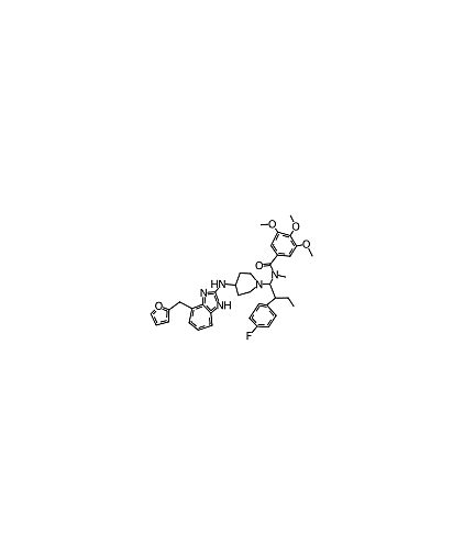 CCC(c1ccc(F)cc1)C(N1CCC(Nc2nc3c(Cc4ccco4)cccc3[nH]2)CC1)N(C)C(=O)c1cc(OC)c(OC)c(OC)c1